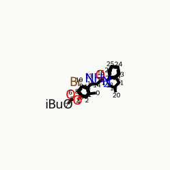 Cc1cc(OC(=O)OCC(C)C)cc(Br)c1C(N)CC(=O)N1CC(C)Cc2ccccc21